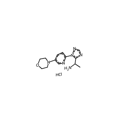 CC(N)c1ncnn1-c1ccc(N2CCOCC2)cn1.Cl